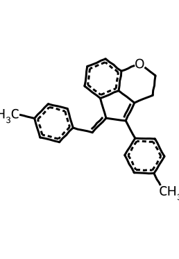 Cc1ccc(C=C2C(c3ccc(C)cc3)=C3CCOc4cccc2c43)cc1